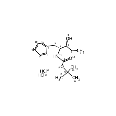 CC[C@H](O)[C@@H](Cc1ccncc1)NC(=O)OC(C)(C)C.Cl.Cl